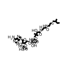 CCC(C)CSCCNC(=O)CCNC(=O)C(O)C(C)(C)COP(=O)(O)OP(=O)(O)OC[C@H]1O[C@@H](n2cnc3c(N)ncnc32)[C@H](O)[C@@H]1OP(=O)(O)O